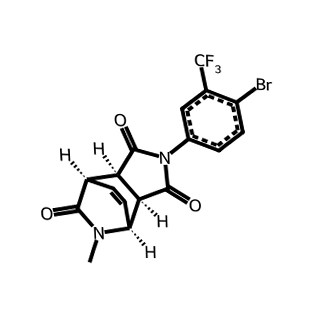 CN1C(=O)[C@@H]2C=C[C@H]1[C@@H]1C(=O)N(c3ccc(Br)c(C(F)(F)F)c3)C(=O)[C@@H]12